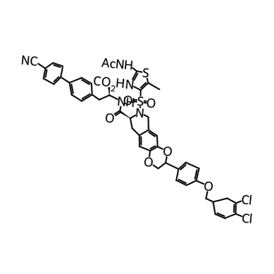 CC(=O)Nc1nc(S(=O)(=O)N2Cc3cc4c(cc3C[C@H]2C(=O)N[C@@H](Cc2ccc(-c3ccc(C#N)cc3)cc2)C(=O)O)OCC(c2ccc(OCC3C=CC(Cl)=C(Cl)C3)cc2)O4)c(C)s1